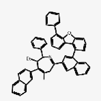 CCC1C(c2ccc3ccccc3c2)=C(C)CC(c2cc(-c3cccc4oc5c(-c6ccccc6)cccc5c34)c3ccccc3c2)=NC1c1ccccc1